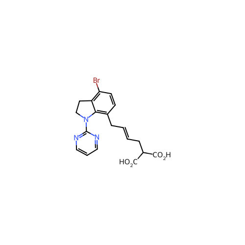 O=C(O)C(CC=CCc1ccc(Br)c2c1N(c1ncccn1)CC2)C(=O)O